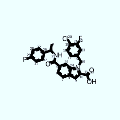 CC(NC(=O)c1ccc2cc(C(=O)O)n(Cc3ccc(Cl)c(F)c3)c2c1)c1ccc(F)cc1